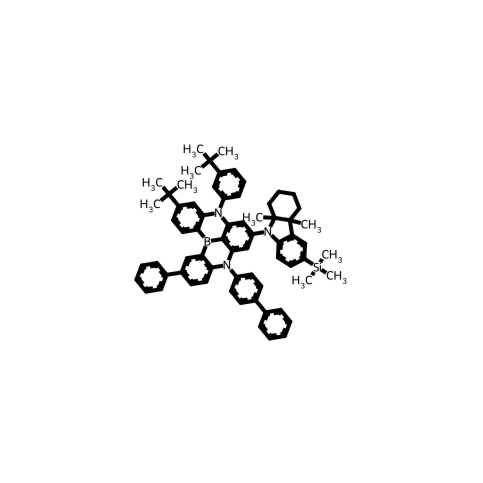 CC(C)(C)c1cccc(N2c3cc(C(C)(C)C)ccc3B3c4cc(-c5ccccc5)ccc4N(c4ccc(-c5ccccc5)cc4)c4cc(N5c6ccc([Si](C)(C)C)cc6C6(C)CCCCC56C)cc2c43)c1